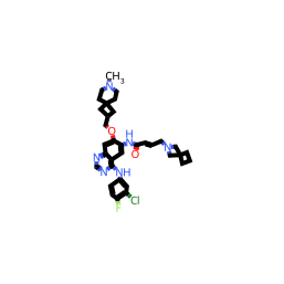 CN1CCC2(CC1)CC(COc1cc3ncnc(Nc4ccc(F)c(Cl)c4)c3cc1NC(=O)C=CCN1CC3(CCC3)C1)C2